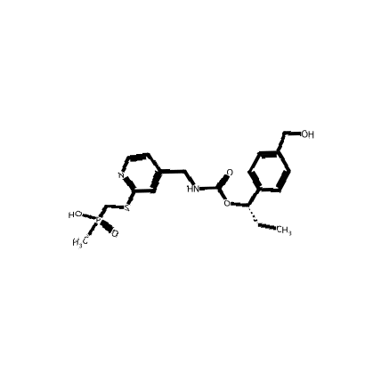 CC[C@H](OC(=O)NCc1ccnc(SCP(C)(=O)O)c1)c1ccc(CO)cc1